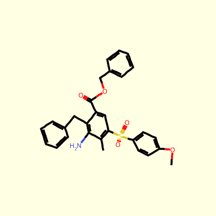 COc1ccc(S(=O)(=O)c2cc(C(=O)OCc3ccccc3)c(Cc3ccccc3)c(N)c2C)cc1